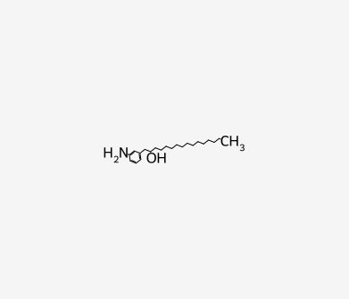 CCCCCCCCCCCCCCC(O)Cc1cccc(N)c1